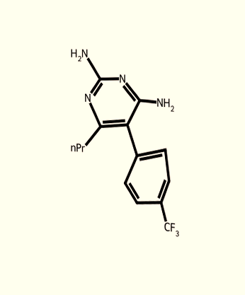 CCCc1nc(N)nc(N)c1-c1ccc(C(F)(F)F)cc1